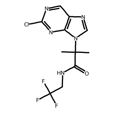 CC(C)(C(=O)NCC(F)(F)F)n1cnc2cnc(Cl)nc21